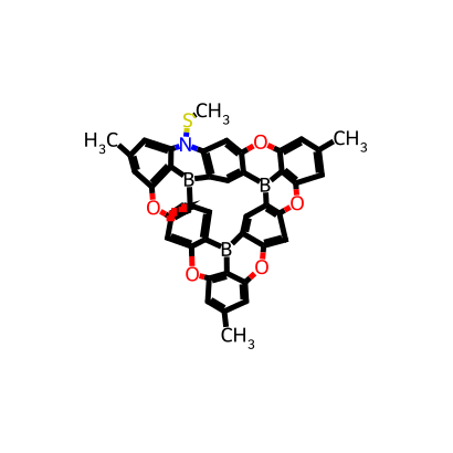 CSN1c2cc3c(cc2B2c4ccccc4Oc4cc(C)cc1c42)B1c2cc4c(cc2Oc2cc(C)cc(c21)O3)Oc1cc(C)cc2c1B4c1ccccc1O2